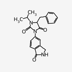 CC(C)N1C(=O)N(c2ccc3c(c2)CNC3=O)C(=O)C1Cc1ccccc1